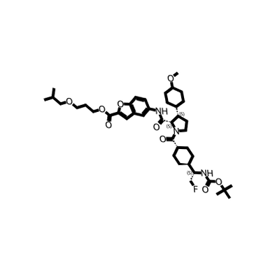 COC1CCC([C@@H]2CCN(C(=O)[C@H]3CC[C@H]([C@@H](CF)NC(=O)OC(C)(C)C)CC3)[C@@H]2C(=O)Nc2ccc3oc(C(=O)OCCCOCC(C)C)cc3c2)CC1